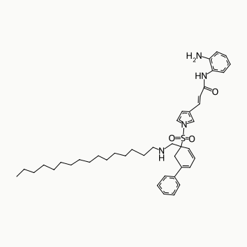 CCCCCCCCCCCCCCCCNCC1(S(=O)(=O)n2ccc(C=CC(=O)Nc3ccccc3N)c2)C=CC=C(c2ccccc2)C1